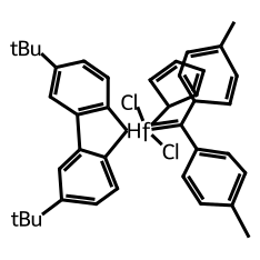 Cc1ccc([C](c2ccc(C)cc2)=[Hf]([Cl])([Cl])([CH]2C=CC=C2)[CH]2c3ccc(C(C)(C)C)cc3-c3cc(C(C)(C)C)ccc32)cc1